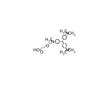 CN(C)c1ccc(C(=C2C=CC(=[N+](C)C)C=C2)c2ccc(N(C)CCOCCCC(=O)O)cc2)cc1